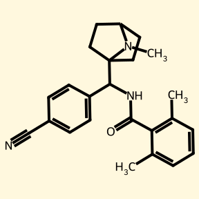 Cc1cccc(C)c1C(=O)NC(c1ccc(C#N)cc1)C12CCC(CC1)N2C